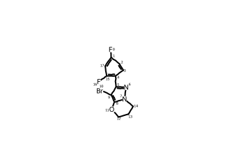 Fc1ccc(-c2nn3c(c2Br)OCCC3)c(F)c1